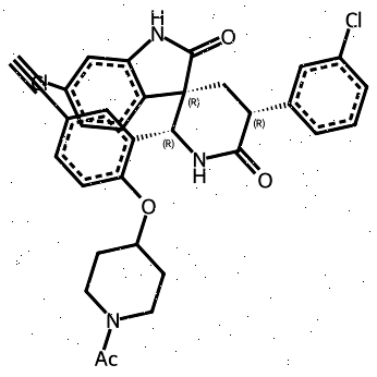 C#Cc1ccc(OC2CCN(C(C)=O)CC2)c([C@H]2NC(=O)[C@@H](c3cccc(Cl)c3)C[C@]23C(=O)Nc2cc(Cl)ccc23)c1